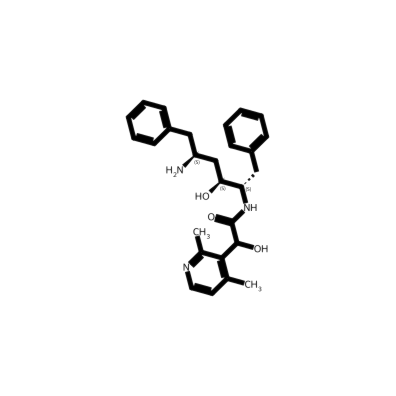 Cc1ccnc(C)c1C(O)C(=O)N[C@@H](Cc1ccccc1)[C@@H](O)C[C@@H](N)Cc1ccccc1